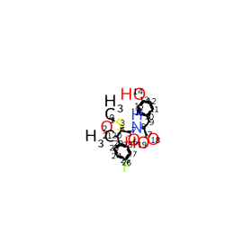 CC(=O)SC(C(=O)NC(Cc1ccc(O)cc1)C(=O)O)C(C)c1ccc(F)cc1